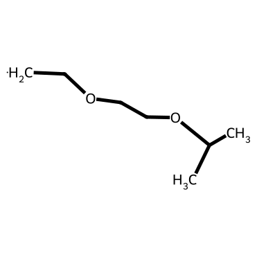 [CH2]COCCOC(C)C